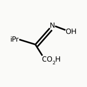 CC(C)C(=NO)C(=O)O